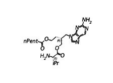 CCCCCC(=O)OCC[C@@H](COC(=O)[C@@H](N)C(C)C)Cn1cnc2cnc(N)nc21